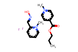 CCCOC(=O)c1cc[n+](C)cc1.C[n+]1ccccc1C=NO.[I-].[I-]